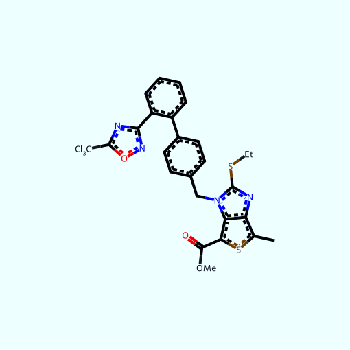 CCSc1nc2c(C)sc(C(=O)OC)c2n1Cc1ccc(-c2ccccc2-c2noc(C(Cl)(Cl)Cl)n2)cc1